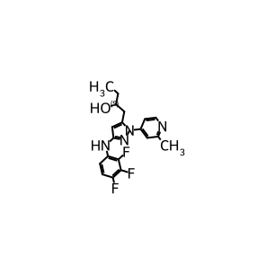 CC[C@H](O)Cc1cc(Nc2ccc(F)c(F)c2F)nn1-c1ccnc(C)c1